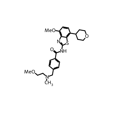 COCCN(C)Cc1ccc(C(=O)Nc2nc3c(OC)ccc(C4CCOCC4)c3s2)cc1